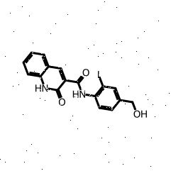 O=C(Nc1ccc(CO)cc1I)c1cc2ccccc2[nH]c1=O